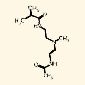 CC(=O)NCCN(C)CCNC(=O)C(C)C